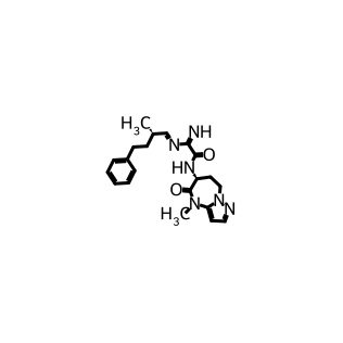 C[C@H](/C=N/C(=N)C(=O)N[C@H]1CCn2nccc2N(C)C1=O)CCc1ccccc1